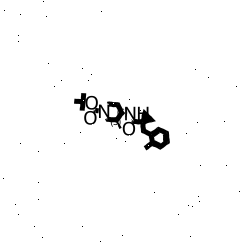 Cc1ccccc1CC1(C(=O)N[C@H]2CCN(C(=O)OC(C)(C)C)C[C@@H]2C)CC1